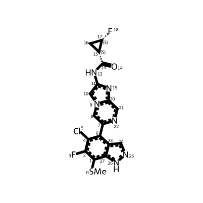 CSc1c(F)c(Cl)c(-c2cn3cc(NC(=O)[C@@H]4C[C@@H]4F)nc3cn2)c2cn[nH]c12